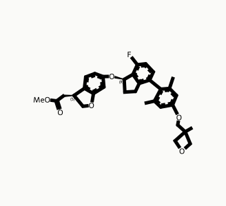 COC(=O)C[C@@H]1COc2cc(O[C@@H]3CCc4c(-c5c(C)cc(OCC6(C)COC6)cc5C)ccc(F)c43)ccc21